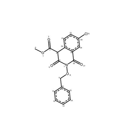 COC(=O)C1C(=O)N(OCc2ccccc2)C(=O)c2cc(Cl)ccc21